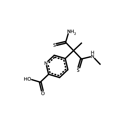 CNC(=S)C(C)(C(N)=S)c1ccc(C(=O)O)nc1